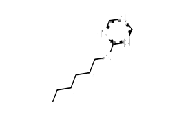 CCCCCCSc1ncncn1